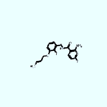 C/C=C/COc1cccc(CNC(=O)c2ccc(F)nc2N)c1F